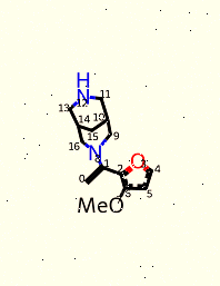 C=C(c1occc1OC)N1CC2CNCC(C2)C1